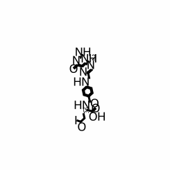 Nc1nc(=O)c2nc(CNc3ccc(C(=O)N[C@@H](CCC(=O)I)C(=O)O)cc3)cnc2[nH]1